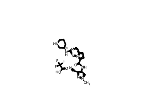 Cn1cc(NC(=O)c2ccc3cnc(N[C@@H]4CCCNC4)nn23)c(C#N)n1.O=C(O)C(F)(F)F